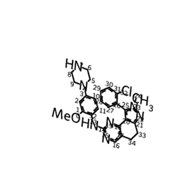 COc1cc(N2CCNCC2)ccc1Nc1ncc2c(n1)-c1c(nn(C)c1-c1ccccc1Cl)CC2